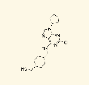 OCC1CCC(CNc2nc(Cl)nc3c2ncn3C2CCCC2)CC1